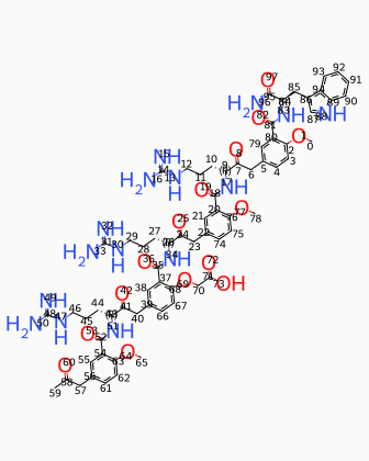 COc1ccc(CC(=O)[C@@H](CCCNC(=N)N)NC(=O)c2cc(CC(=O)[C@@H](CCCNC(=N)N)NC(=O)c3cc(CC(=O)[C@@H](CCCNC(=N)N)NC(=O)c4cc(CC(C)=O)ccc4OC)ccc3OCC(=O)O)ccc2OC)cc1C(=O)N[C@H](Cc1c[nH]c2ccccc12)C(N)=O